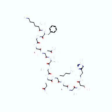 CC(C)[C@H](NC(=O)[C@H](CC(N)=O)NC(=O)[C@H](CO)NC(=O)[C@H](C)NC(=O)[C@H](Cc1ccccc1)NC(=O)[C@@H](N)CCCCN)C(=O)N[C@H](C(=O)N[C@@H](CCC(N)=O)C(=O)N[C@@H](CCCCN)C(=O)N[C@@H](CS)C(=O)N[C@H](C(=O)N[C@H](C(=O)N[C@@H](Cc1c[nH]cn1)C(=O)O)[C@@H](C)O)C(C)C)C(C)C